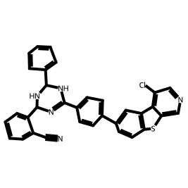 N#Cc1ccccc1C1N=C(c2ccc(-c3ccc4sc5cncc(Cl)c5c4c3)cc2)NC(c2ccccc2)N1